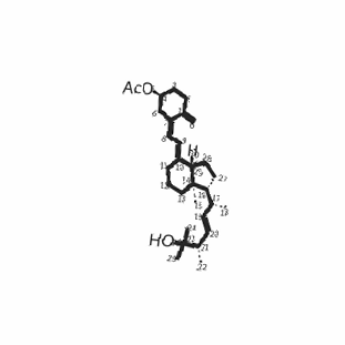 C=C1CC[C@H](OC(C)=O)C/C1=C/C=C1\CCC[C@]2(C)[C@@H]([C@H](C)/C=C/[C@H](C)C(C)(C)O)CC[C@@H]12